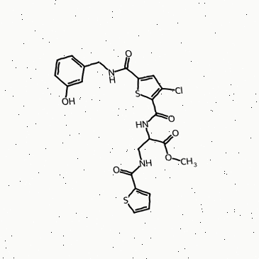 COC(=O)C(CNC(=O)c1cccs1)NC(=O)c1sc(C(=O)NCc2cccc(O)c2)cc1Cl